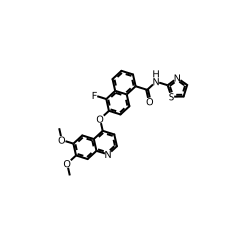 COc1cc2nccc(Oc3ccc4c(C(=O)Nc5nccs5)cccc4c3F)c2cc1OC